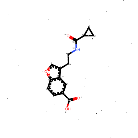 O=C(O)c1ccc2occ(CCNC(=O)C3CC3)c2c1